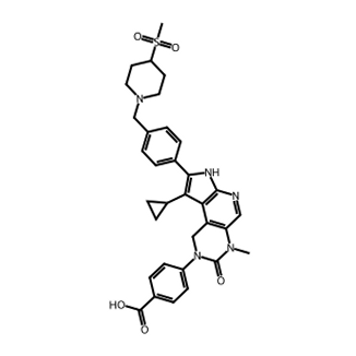 CN1C(=O)N(c2ccc(C(=O)O)cc2)Cc2c1cnc1[nH]c(-c3ccc(CN4CCC(S(C)(=O)=O)CC4)cc3)c(C3CC3)c21